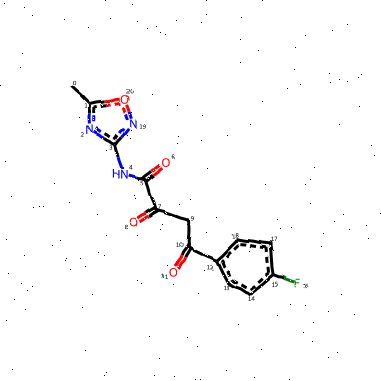 Cc1nc(NC(=O)C(=O)CC(=O)c2ccc(F)cc2)no1